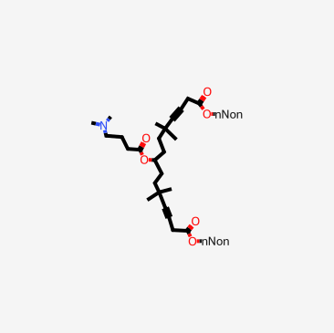 CCCCCCCCCOC(=O)CC#CC(C)(C)CCC(CCC(C)(C)C#CCC(=O)OCCCCCCCCC)OC(=O)CCCN(C)C